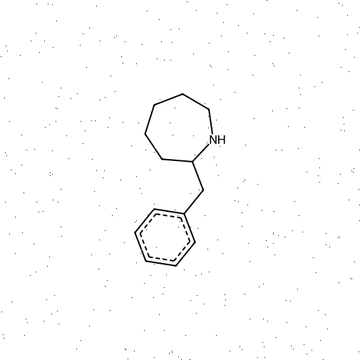 c1ccc(CC2CCCCCN2)cc1